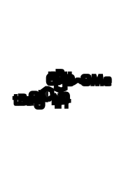 CCCCOc1cc(OCCCOC)cc(C(=O)N(C(C)C)[C@@H]2CCCN(C(=O)OC(C)(C)C)C2)c1